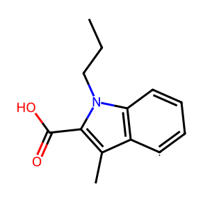 CCCn1c(C(=O)O)c(C)c2[c]cccc21